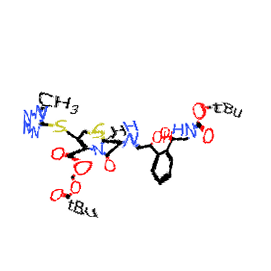 Cn1nnnc1SCC1=C(C(=O)OCOC(=O)C(C)(C)C)N2C(=O)C(NCC(O)c3ccccc3C(=O)CNC(=O)OC(C)(C)C)[C@@H]2SC1